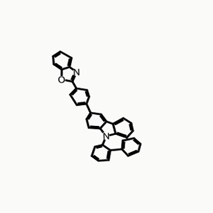 c1ccc(-c2ccccc2-n2c3ccccc3c3cc(-c4ccc(-c5nc6ccccc6o5)cc4)ccc32)cc1